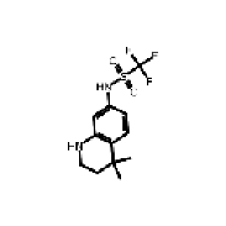 CC1(C)CCNc2cc(NS(=O)(=O)C(F)(F)F)ccc21